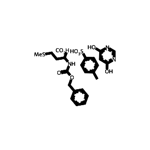 CSCCC(NC(=O)OCc1ccccc1)C(=O)O.Cc1ccc(S(=O)(=O)O)cc1.Oc1cc(O)ncn1